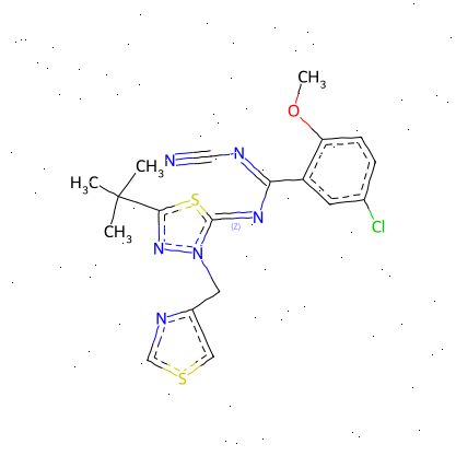 COc1ccc(Cl)cc1C(=NC#N)/N=c1\sc(C(C)(C)C)nn1Cc1cscn1